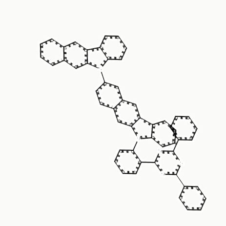 c1ccc(-c2nc(-c3ccccc3)nc(-c3ccccc3-n3c4ccccc4c4cc5cc(-n6c7ccccc7c7cc8ccccc8cc76)ccc5cc43)n2)cc1